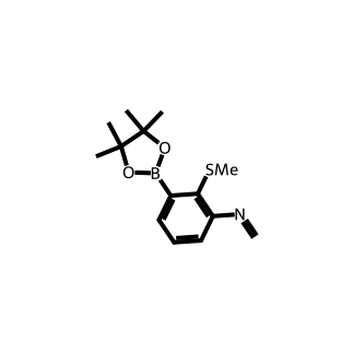 C=Nc1cccc(B2OC(C)(C)C(C)(C)O2)c1SC